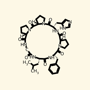 CC(C)C[C@@H]1NC(=O)CNC(=O)[C@@H]2CCCN2C(=O)[C@@H]2CCCN2C(=O)[C@H](Cc2cnc[nH]2)NC(=O)[C@@H]2CCCN2C(=O)[C@H](Cc2ccccc2)NC1=O